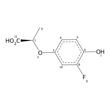 C[C@@H](Oc1ccc(O)c(F)c1)C(=O)O